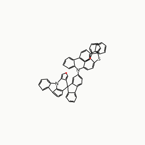 c1ccc(-c2ccc(-c3ccccc3N(c3ccc4c(c3)C3(c5ccccc5-4)c4ccccc4-n4c5ccccc5c5cccc3c54)c3ccc4sc5ccccc5c4c3)cc2)cc1